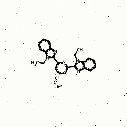 CCn1c(-c2cccc(-c3nc4ccccc4n3CC)n2)nc2ccccc21.[Cl-].[Cl-].[Fe+2]